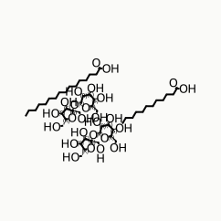 CCCCCCCCCCCC(=O)O.CCCCCCCCCCCCCCCC(=O)O.OC[C@H]1O[C@@](CO)(O[C@H]2O[C@H](CO)[C@@H](O)[C@H](O)[C@H]2O)[C@@H](O)[C@@H]1O.OC[C@H]1O[C@@](CO)(O[C@H]2O[C@H](CO)[C@@H](O)[C@H](O)[C@H]2O)[C@@H](O)[C@@H]1O